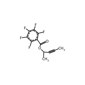 CC#CC(C)OC(=O)c1c(F)c(F)c(F)c(F)c1F